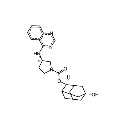 O=C(O[C@H]1C2CC3CC1C[C@](O)(C3)C2)N1CC[C@@H](Nc2ncnc3ccccc23)C1